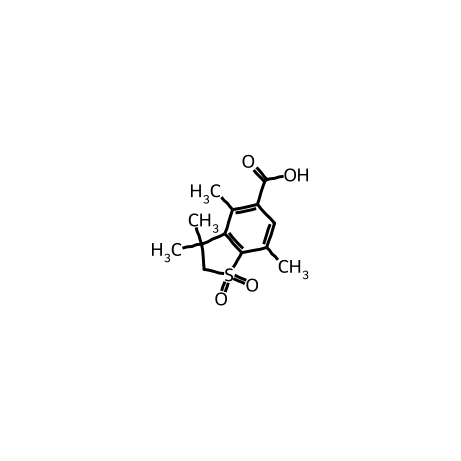 Cc1cc(C(=O)O)c(C)c2c1S(=O)(=O)CC2(C)C